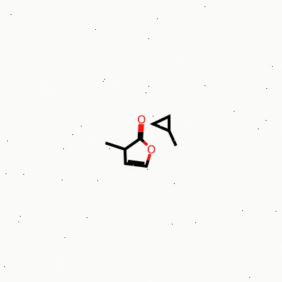 CC1C=COC1=O.CC1CC1